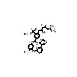 Cc1ccc(NC(=O)c2ccc(CC(=N)C[C@@H](C)CN(C)C)c(C(F)(F)F)c2)cc1Nc1nccc(-c2cncnc2)n1.Cl